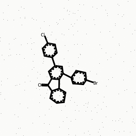 O=C1c2ccccc2-c2c1cc(-c1ccc(Cl)cc1)cc2-c1ccc(Br)cc1